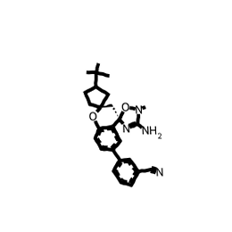 CN1O[C@@]2(C[C@]3(CCC(C(C)(C)C)C3)Oc3ccc(-c4cccc(C#N)c4)cc32)N=C1N